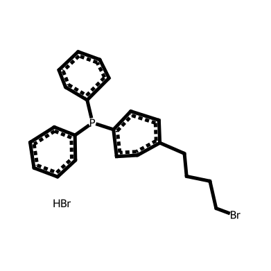 Br.BrCCCCc1ccc(P(c2ccccc2)c2ccccc2)cc1